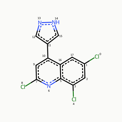 Clc1cc(Cl)c2nc(Cl)cc(-c3cn[nH]c3)c2c1